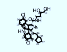 CN1[C@@H](C(=O)NCC[C@H](O)CO)[C@H](c2cccc(Cl)c2)[C@@]2(C(=O)Nc3cc(Cl)c(F)cc32)[C@H]1CCC1CCCC1